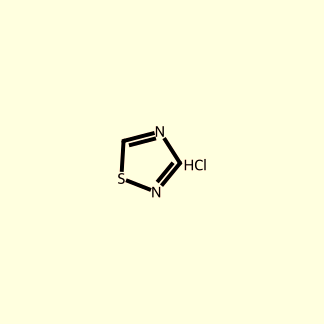 Cl.c1ncsn1